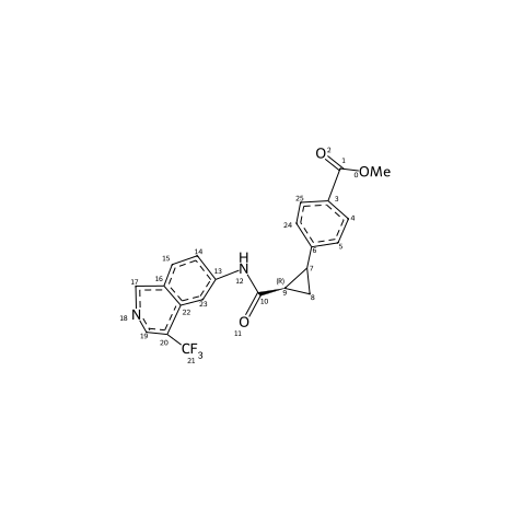 COC(=O)c1ccc(C2C[C@H]2C(=O)Nc2ccc3cncc(C(F)(F)F)c3c2)cc1